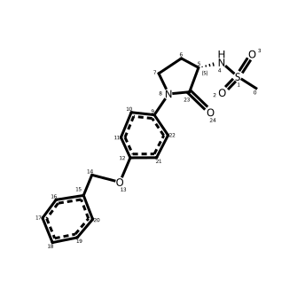 CS(=O)(=O)N[C@H]1CCN(c2ccc(OCc3ccccc3)cc2)C1=O